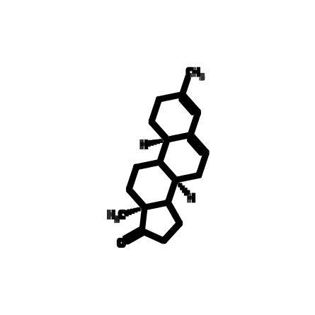 CC1=CC2=CC[C@@H]3C(CC[C@]4(C)C(=O)CCC34)[C@H]2CC1